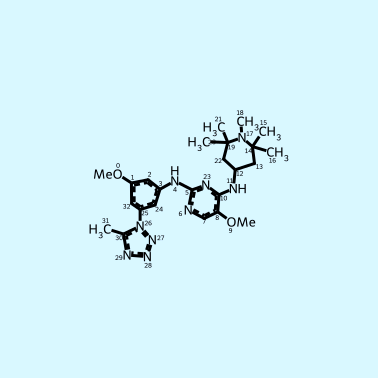 COc1cc(Nc2ncc(OC)c(NC3CC(C)(C)N(C)C(C)(C)C3)n2)cc(-n2nnnc2C)c1